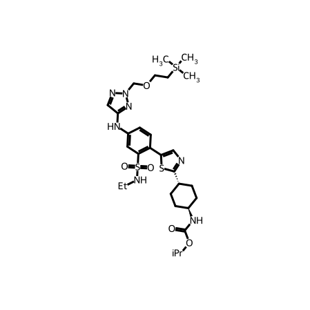 CCNS(=O)(=O)c1cc(Nc2cnn(COCC[Si](C)(C)C)n2)ccc1-c1cnc([C@H]2CC[C@H](NC(=O)OC(C)C)CC2)s1